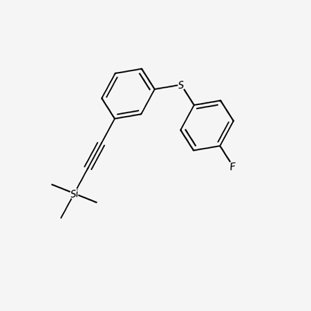 C[Si](C)(C)C#Cc1cccc(Sc2ccc(F)cc2)c1